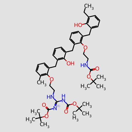 CCc1cccc(Cc2cccc(Cc3cccc(Cc4cccc(C)c4OCCN/C(=N\C(=O)OC(C)(C)C)NC(=O)OC(C)(C)C)c3O)c2OCCNC(=O)OC(C)(C)C)c1O